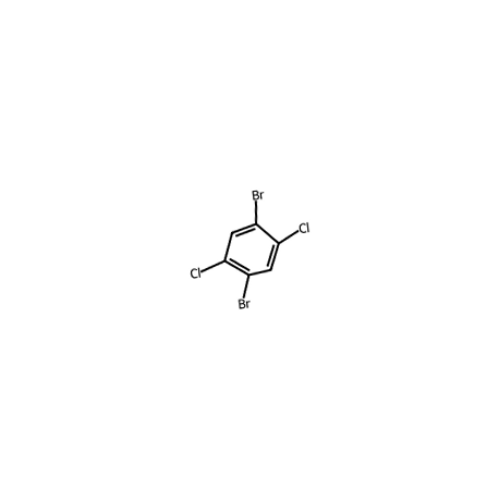 Clc1cc(Br)c(Cl)cc1Br